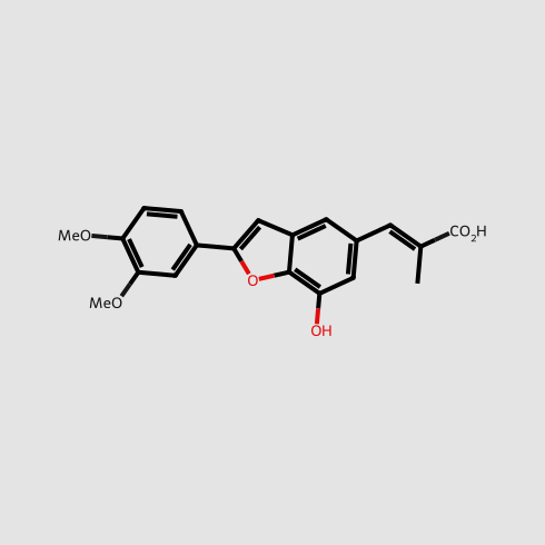 COc1ccc(-c2cc3cc(C=C(C)C(=O)O)cc(O)c3o2)cc1OC